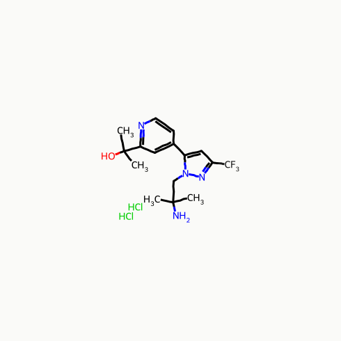 CC(C)(N)Cn1nc(C(F)(F)F)cc1-c1ccnc(C(C)(C)O)c1.Cl.Cl